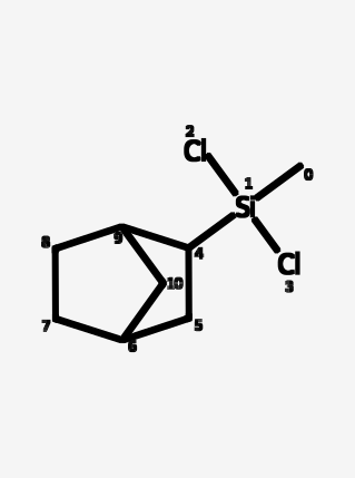 C[Si](Cl)(Cl)C1CC2CCC1C2